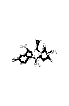 Cn1c(=O)cc(N(N)n2nc(C=O)c3cc(Cl)ccc32)n(CC2CC2)c1=O